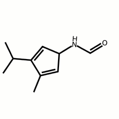 CC1=CC(NC=O)C=C1C(C)C